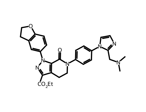 CCOC(=O)c1nn(-c2ccc3c(c2)CCO3)c2c1CCN(c1ccc(-n3ccnc3CN(C)C)cc1)C2=O